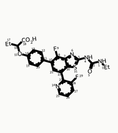 CCNC(=O)Nc1nc2c(F)c(-c3ccc(OC(CC)C(=O)O)cc3)cc(-c3ncccc3F)c2s1